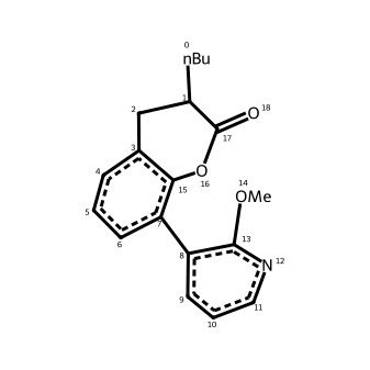 CCCCC1Cc2cccc(-c3cccnc3OC)c2OC1=O